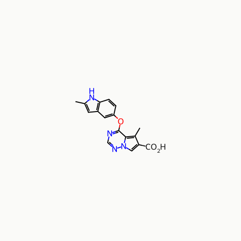 Cc1cc2cc(Oc3ncnn4cc(C(=O)O)c(C)c34)ccc2[nH]1